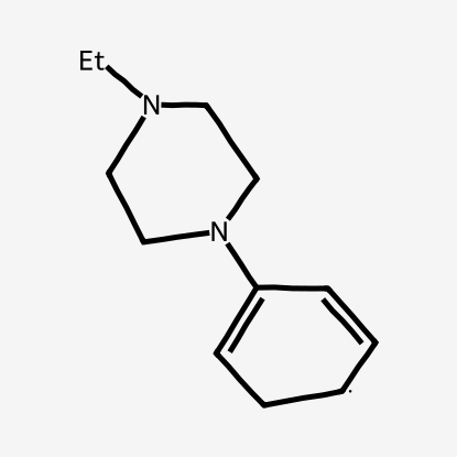 CCN1CCN(C2=CC[CH]C=C2)CC1